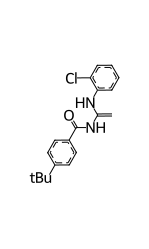 C=C(NC(=O)c1ccc(C(C)(C)C)cc1)Nc1ccccc1Cl